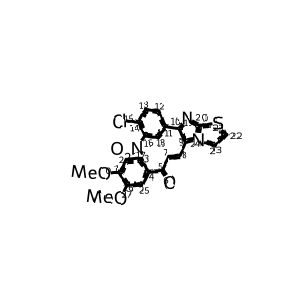 COc1ccc(C(=O)C=Cc2c(-c3ccc(Cl)c([N+](=O)[O-])c3)nc3sccn23)cc1OC